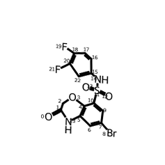 O=C1COc2c(cc(Br)cc2S(=O)(=O)Nc2ccc(F)c(F)c2)N1